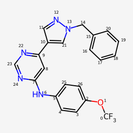 FC(F)(F)Oc1ccc(Nc2cc(-c3cnn(Cc4ccccc4)c3)ncn2)cc1